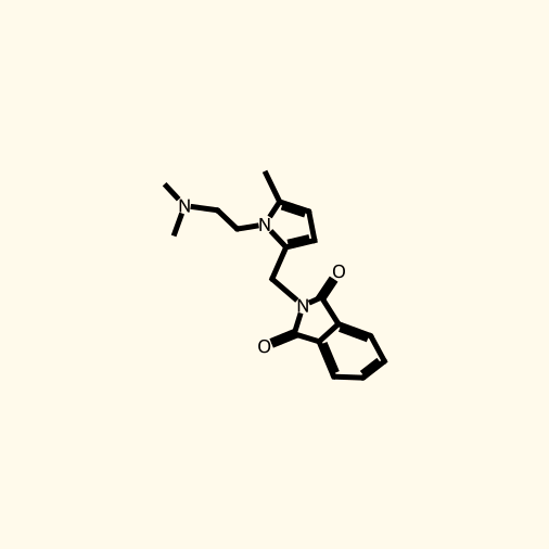 Cc1ccc(CN2C(=O)c3ccccc3C2=O)n1CCN(C)C